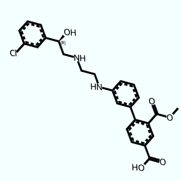 COC(=O)c1cc(C(=O)O)ccc1-c1cccc(NCCNC[C@H](O)c2cccc(Cl)c2)c1